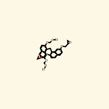 CCOCOc1ccc2ccc(OCOCC)c(Cc3c(OCC4CO4)ccc4ccc(OCC5CO5)cc34)c2c1